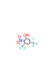 O=[N+]([O-])c1c(O)cc(C(F)(F)F)cc1C(F)(F)F